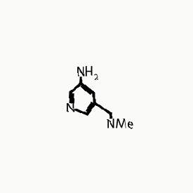 CNCc1cncc(N)c1